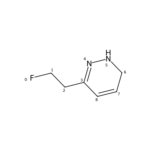 FCCC1=NNCC=C1